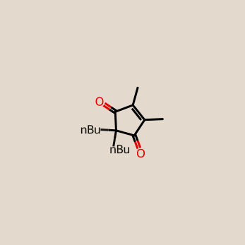 CCCCC1(CCCC)C(=O)C(C)=C(C)C1=O